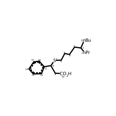 CCCCC(CCC)CCCCSC(CC(=O)O)c1ccccc1